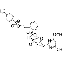 COc1cc(C)nc(NC(=O)NS(=O)(=O)NS(=O)(=O)c2ccccc2CCOS(=O)(=O)c2ccc(C)cc2)n1